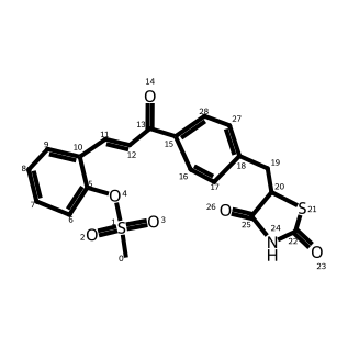 CS(=O)(=O)Oc1ccccc1C=CC(=O)c1ccc(CC2SC(=O)NC2=O)cc1